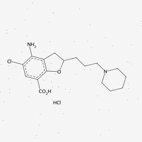 Cl.Nc1c(Cl)cc(C(=O)O)c2c1CC(CCCN1CCCCC1)O2